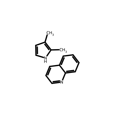 Cc1cc[nH]c1C.c1ccc2ncccc2c1